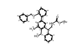 CC(C)(C)OC(=O)NCC(c1ccccc1)c1cc(-c2ccccc2OCc2ccccc2)nc(N)c1CO